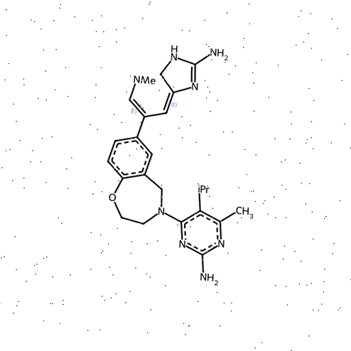 CN/C=C(\C=C1/CNC(N)=N1)c1ccc2c(c1)CN(c1nc(N)nc(C)c1C(C)C)CCO2